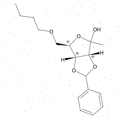 CCCCOC[C@H]1OC(C)(O)[C@@H]2OC(c3ccccc3)O[C@@H]21